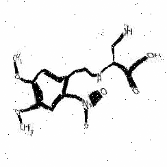 COc1cc(CN[C@@H](CS)C(=O)O)c([N+](=O)[O-])cc1OC